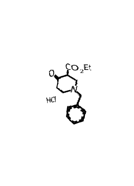 CCOC(=O)C1CN(Cc2ccccc2)CCC1=O.Cl